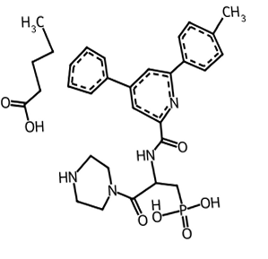 CCCCC(=O)O.Cc1ccc(-c2cc(-c3ccccc3)cc(C(=O)NC(CP(=O)(O)O)C(=O)N3CCNCC3)n2)cc1